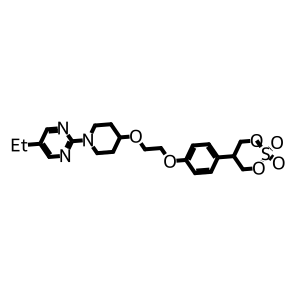 CCc1cnc(N2CCC(OCCOc3ccc(C4COS(=O)(=O)OC4)cc3)CC2)nc1